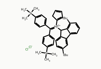 CC(C)(C)c1ccc2c(c1)-c1cccc(C(C)(C)C)c1[CH]2[Hf+2]([C]1=CC=CC1)=[C](c1ccc([Si](C)(C)C)cc1)c1ccc([Si](C)(C)C)cc1.[Cl-].[Cl-]